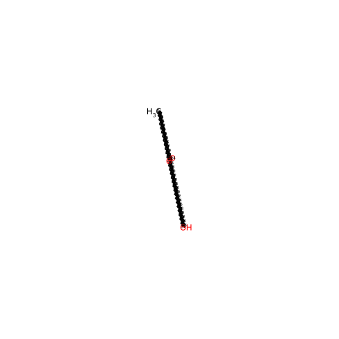 CCCCCCCCC=CCCCCCCCCCCCCCC(=O)OCCCCCCCCCCCCCCCCCCCCCCCCCCCCCCCO